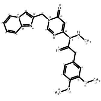 CNN(C(=N)Cc1ccc(OC)c(OC)c1)c1cc(=O)n(Cc2cn3ccccc3n2)cn1